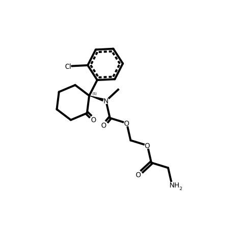 CN(C(=O)OCOC(=O)CN)[C@]1(c2ccccc2Cl)CCCCC1=O